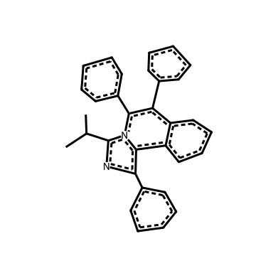 CC(C)c1nc(-c2ccccc2)c2c3ccccc3c(-c3ccccc3)c(-c3ccccc3)n12